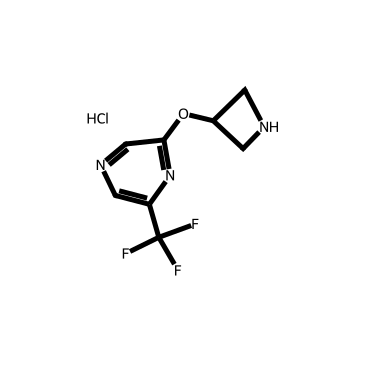 Cl.FC(F)(F)c1cncc(OC2CNC2)n1